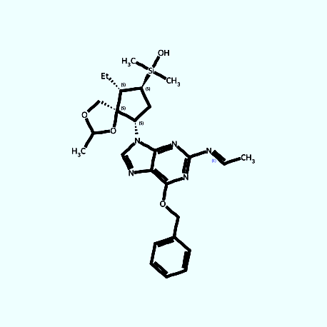 C/C=N/c1nc(OCc2ccccc2)c2ncn([C@H]3C[C@H]([Si](C)(C)O)[C@@H](CC)[C@@]34COC(C)O4)c2n1